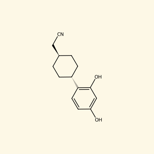 N#CC[C@H]1CC[C@H](c2ccc(O)cc2O)CC1